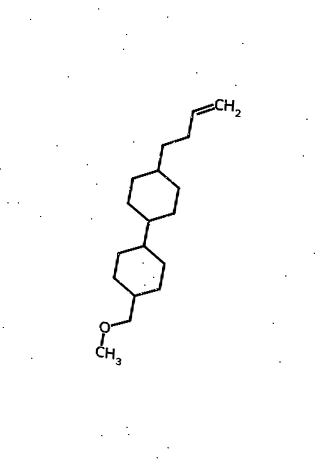 C=CCCC1CCC(C2CCC(COC)CC2)CC1